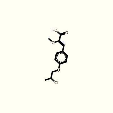 CO/C(=C\c1ccc(OCC(C)Cl)cc1)C(=O)O